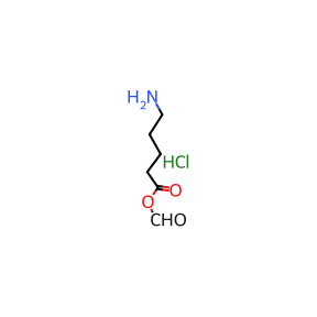 Cl.NCCCCC(=O)OC=O